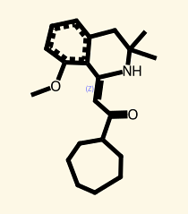 COc1cccc2c1/C(=C/C(=O)C1CCCCCC1)NC(C)(C)C2